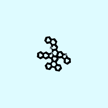 c1ccc2cc3c(cc2c1)c1c2c4ccccc4c4ccccc4c2ccc1n3-c1nc2c(ccc3ccccc32)cc1-c1ccc2c(c1)sc1ccccc12